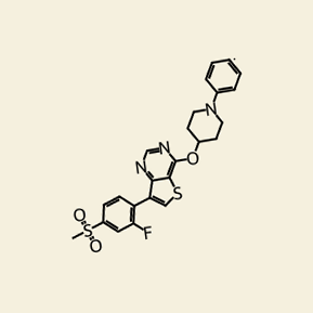 CS(=O)(=O)c1ccc(-c2csc3c(OC4CCN(c5cc[c]cc5)CC4)ncnc23)c(F)c1